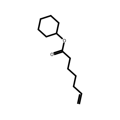 C=CCCCCC(=O)OC1CCCCC1